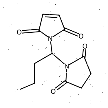 [CH2]CCC(N1C(=O)C=CC1=O)N1C(=O)CCC1=O